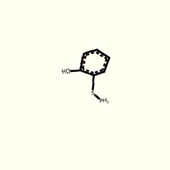 Oc1ccccc1SP